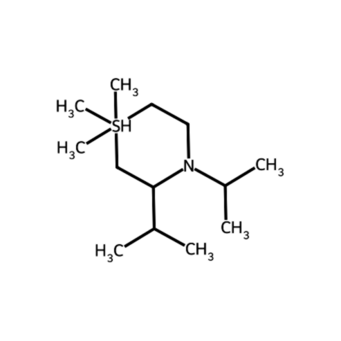 CC(C)C1C[SH](C)(C)(C)CCN1C(C)C